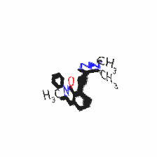 CCc1cc2cccc(C#Cc3cnn(C)c3C)c2c(=O)n1-c1ccccc1